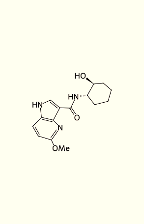 COc1ccc2[nH]cc(C(=O)N[C@H]3CCCC[C@@H]3O)c2n1